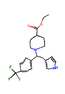 CCOC(=O)C1CCN(C(c2ccc(C(F)(F)F)cc2)c2cc[nH]c2)CC1